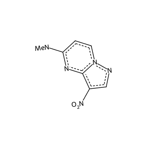 CNc1ccn2ncc([N+](=O)[O-])c2n1